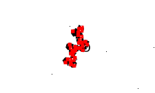 c1ccc(-n2c3ccccc3c3cc(-c4cccc(-c5cccc6oc7ccc(-c8ccc9c(c8)c8cc(-c%10ccc%11c%12ccccc%12n(-c%12ccccc%12)c%11c%10)ccc8n9-c8ccccc8)cc7c56)c4)ccc32)cc1